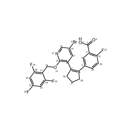 O=C(O)c1cc(C2=C(c3cc(Br)cnc3OCc3c(F)cc(F)cc3F)CCC2)ccc1F